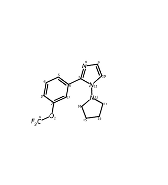 FC(F)(F)Oc1cccc(-c2nccn2N2CCCC2)c1